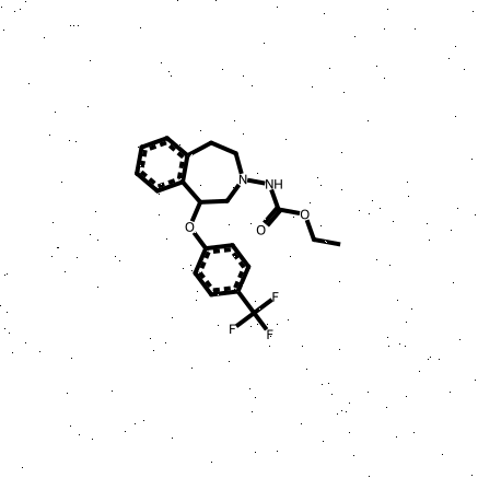 CCOC(=O)NN1CCc2ccccc2C(Oc2ccc(C(F)(F)F)cc2)C1